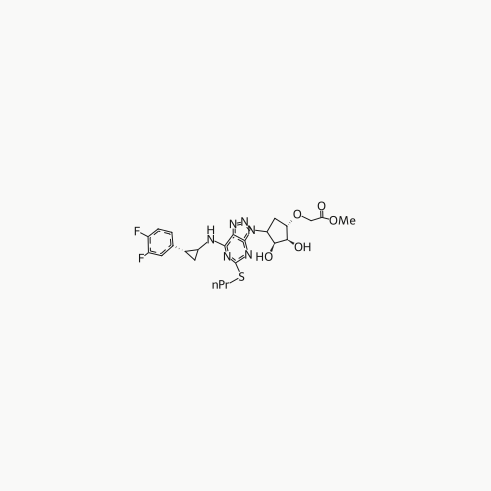 CCCSc1nc(NC2C[C@@H]2c2ccc(F)c(F)c2)c2nnn(C3C[C@H](OCC(=O)OC)[C@@H](O)[C@H]3O)c2n1